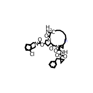 NC1CCCCC/C=C\C2CC2(C(=O)NS(=O)(=O)C2(Cc3ccccc3)CC2)NC(=O)C2CC(OC(=O)N3Cc4cccc(Cl)c4C3)CN2C1=O